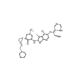 Cn1c(Nc2cc(C(F)(F)F)cn([C@H]3CC[C@@H]3OCc3ccccc3)c2=O)nc2ncc(O/C(C=N)=C3\C=NC=CN3)c(Cl)c21